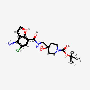 CC(C)(C)OC(=O)N1CCC(O)(CNC(=O)c2cc(Cl)c(N)c3ccoc23)CC1